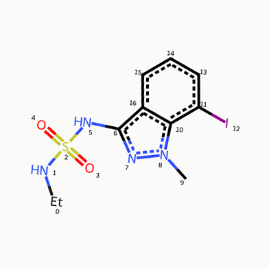 CCNS(=O)(=O)Nc1nn(C)c2c(I)cccc12